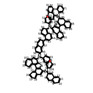 c1ccc(N(c2ccc3ccccc3c2)c2cc3ccccc3c3c2sc2c(N(c4ccccc4)c4ccc5ccc(-c6cccc7c(N(c8ccccc8)c8cc9ccccc9c9c8sc8c(N(c%10ccccc%10)c%10cccc%11ccccc%10%11)cc%10ccccc%10c89)cccc67)cc5c4)cc4ccccc4c23)cc1